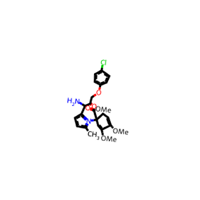 COC(=O)C1(n2c(C)ccc2C(N)C(=O)COc2ccc(Cl)cc2)C=C(OC)C(OC)=CC1